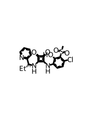 CC[C@@H](Nc1c(Nc2ccc(Cl)c(S(C)(=O)=O)c2O)c(=O)c1=O)c1ccccn1